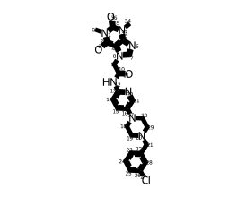 Cn1c(=O)c2c(ncn2CC(=O)Nc2ccc(N3CCN(Cc4cccc(Cl)c4)CC3)cn2)n(C)c1=O